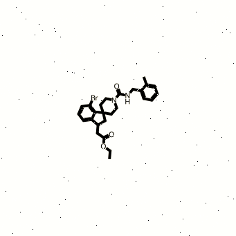 CCOC(=O)CC1CC2(CCN(C(=O)NCc3ccccc3C)CC2)c2c(Br)cccc21